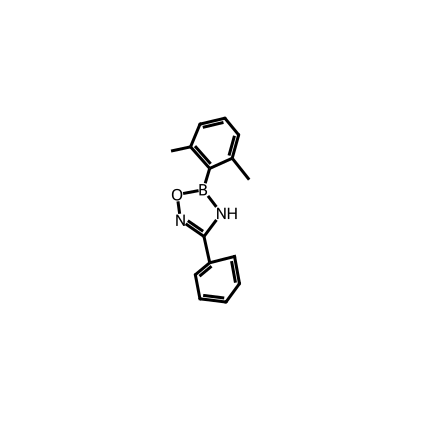 Cc1cccc(C)c1B1NC(c2ccccc2)=NO1